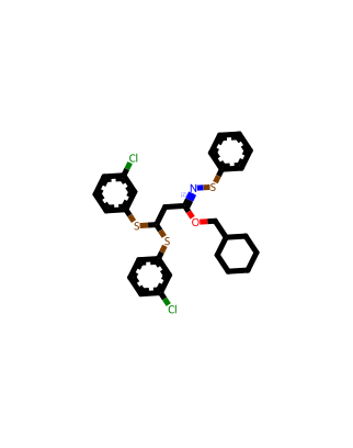 Clc1cccc(SC(C/C(=N/Sc2ccccc2)OCC2CCCCC2)Sc2cccc(Cl)c2)c1